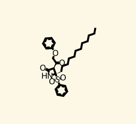 CCCCCCCCCCCC[C@]1(S(=O)(=O)c2ccccc2)NC(=O)[C@H]1C(=O)COc1ccccc1